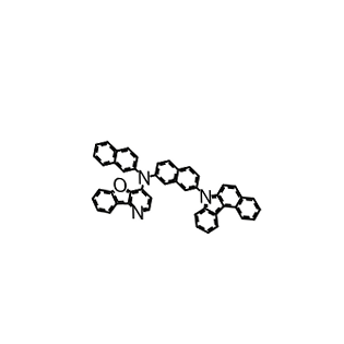 c1ccc2cc(N(c3ccc4ccc(-n5c6ccccc6c6c7ccccc7ccc65)cc4c3)c3ccnc4c3oc3ccccc34)ccc2c1